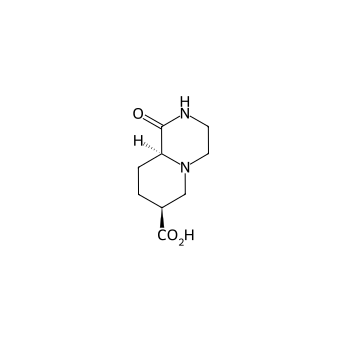 O=C(O)[C@H]1CC[C@H]2C(=O)NCCN2C1